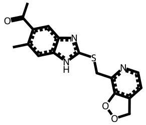 CC(=O)c1cc2nc(SCc3nccc4c3OOC4)[nH]c2cc1C